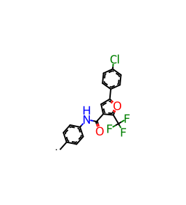 [CH2]c1ccc(NC(=O)c2cc(-c3ccc(Cl)cc3)oc2C(F)(F)F)cc1